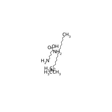 CCCCCCCCCCCCCCCCCC[N+](C)(C)C.NCCCC[C@H](N)C(=O)O